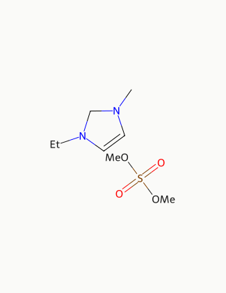 CCN1C=CN(C)C1.COS(=O)(=O)OC